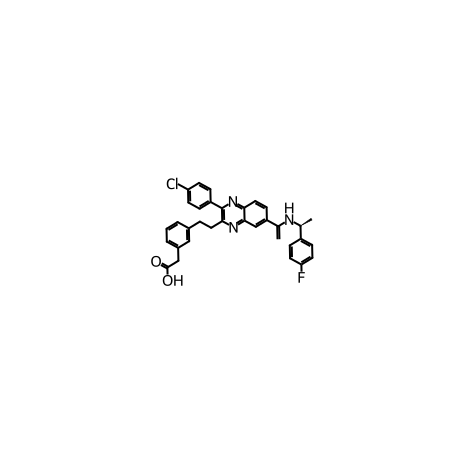 C=C(N[C@@H](C)c1ccc(F)cc1)c1ccc2nc(-c3ccc(Cl)cc3)c(CCc3cccc(CC(=O)O)c3)nc2c1